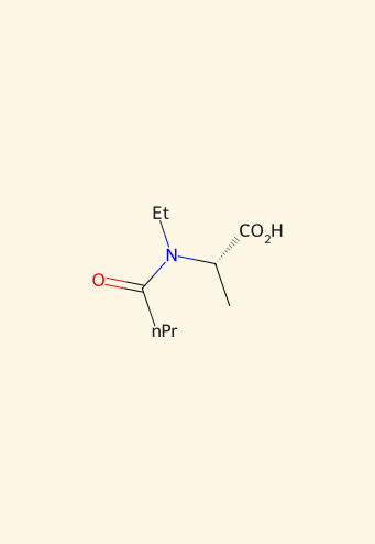 CCCC(=O)N(CC)[C@@H](C)C(=O)O